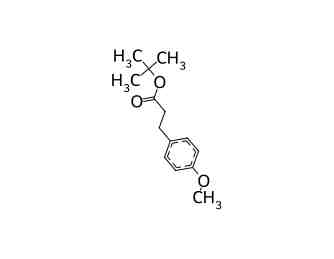 COc1ccc(CCC(=O)OC(C)(C)C)cc1